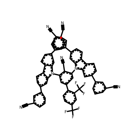 N#Cc1cccc(-c2ccc3c4ccc(-c5cccc(C#N)c5)cc4n(-c4cc(-c5ccc(C(F)(F)F)cc5C(F)(F)F)cc(-n5c6cc(-c7cccc(C#N)c7)ccc6c6ccc(-c7cccc(C#N)c7)cc65)c4C#N)c3c2)c1